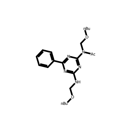 CCCCOCNc1nc(-c2ccccc2)nc(N(COCCCC)C(C)=O)n1